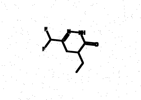 CCC1CC(C(F)F)=NNC1=O